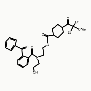 CCC(CC)(OC)C(=O)C1CCC(C(=O)OCCN(CCO)C(=O)c2ccccc2C(=O)c2ccccc2)CC1